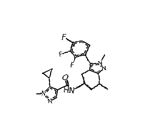 CC1CC(NC(=O)c2cnn(C)c2C2CC2)Cc2c1nn(C)c2-c1ccc(F)c(F)c1F